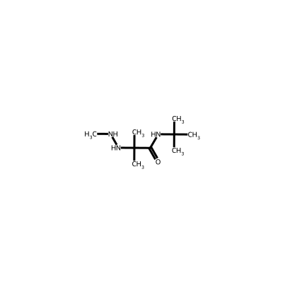 CNNC(C)(C)C(=O)NC(C)(C)C